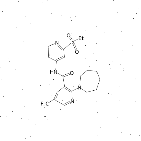 CCS(=O)(=O)c1cc(NC(=O)c2cc(C(F)(F)F)cnc2N2CCCCCC2)ccn1